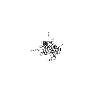 CCCCCCC(C(=O)O)C(CC(=O)O)(OC([C]=O)(OC(CC(=O)O)(C(=O)O)C(CCCCCC)C(=O)O)OC(CC(=O)O)(C(=O)O)C(CCCCCC)C(=O)O)C(=O)O